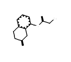 O=C1CCc2cccc(NC(=O)CBr)c2C1